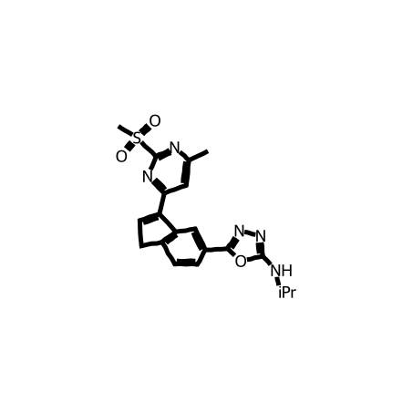 Cc1cc(C2=CCc3ccc(-c4nnc(NC(C)C)o4)cc32)nc(S(C)(=O)=O)n1